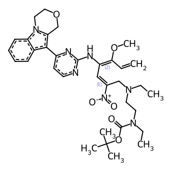 C=C/C(OC)=C(\C=C(/CN(CC)CCN(CC)C(=O)OC(C)(C)C)[N+](=O)[O-])Nc1nccc(-c2c3n(c4ccccc24)CCOC3)n1